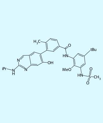 COc1c(NC(=O)c2ccc(C)c(-c3cc4cnc(NC(C)C)nc4cc3O)c2)cc(C(C)(C)C)cc1NS(C)(=O)=O